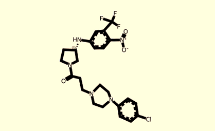 O=C(CCN1CCN(c2ccc(Cl)cc2)CC1)N1CC[C@H](Nc2ccc([N+](=O)[O-])c(C(F)(F)F)c2)C1